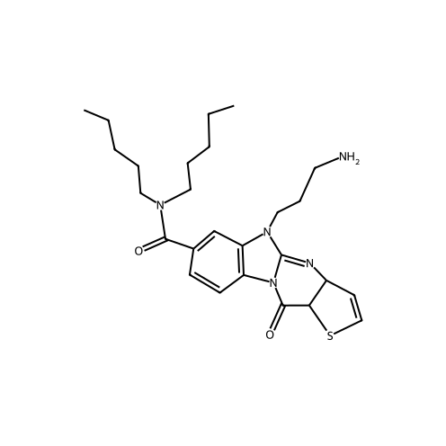 CCCCCN(CCCCC)C(=O)c1ccc2c(c1)N(CCCN)C1=NC3C=CSC3C(=O)N12